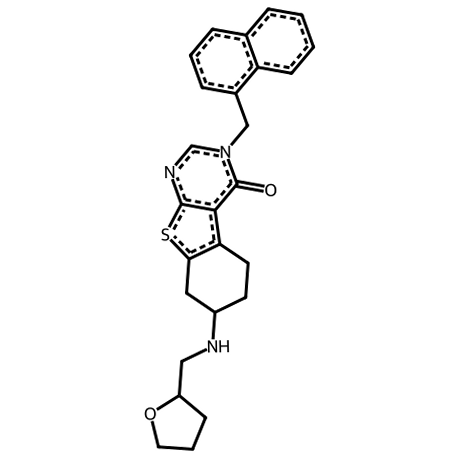 O=c1c2c3c(sc2ncn1Cc1cccc2ccccc12)CC(NCC1CCCO1)CC3